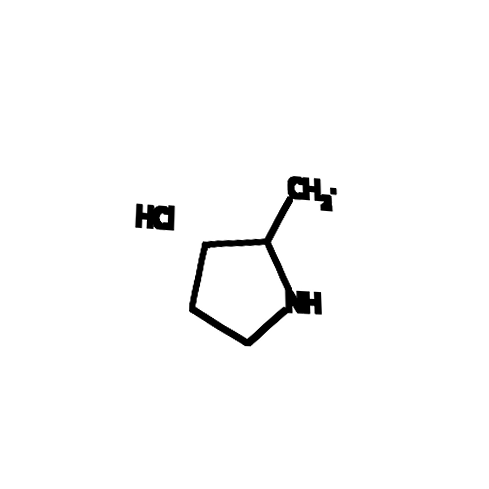 Cl.[CH2]C1CCCN1